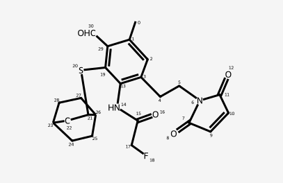 Cc1cc(CCN2C(=O)C=CC2=O)c(NC(=O)CF)c(SC2CC3CCC2CC3)c1C=O